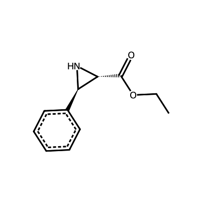 CCOC(=O)[C@H]1N[C@@H]1c1ccccc1